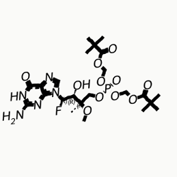 CO[C@](C)(COP(=O)(OCOC(=O)C(C)(C)C)OCOC(=O)C(C)(C)C)[C@@H](O)[C@@H](F)n1cnc2c(=O)[nH]c(N)nc21